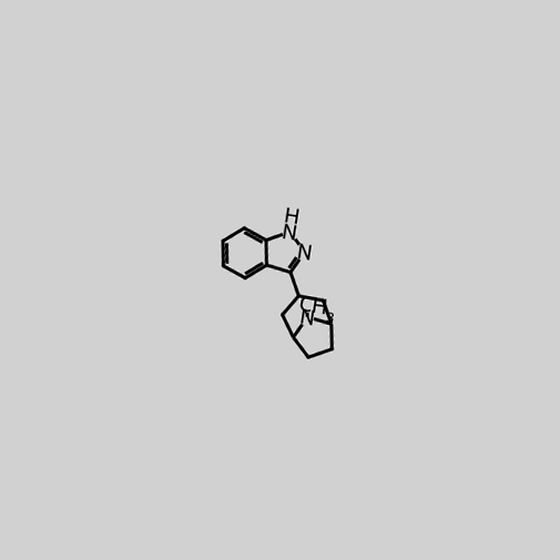 CN1C2CCC1CC(c1n[nH]c3ccccc13)C2